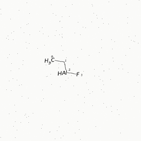 C[CH2][AlH][F]